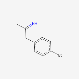 CCc1ccc(CC(C)=N)cc1